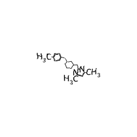 Cc1ccc(CC2CCCC(Cc3nc(C)cc(C)n3)C2)cc1